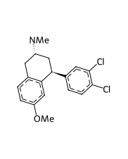 CN[C@H]1Cc2ccc(OC)cc2[C@H](c2ccc(Cl)c(Cl)c2)C1